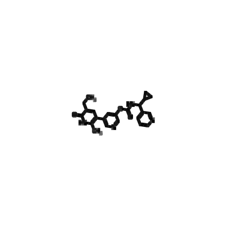 CCc1cc(-c2cncc(OC(=O)NC(c3cccnc3)C3CC3)c2)c(C)[nH]c1=O